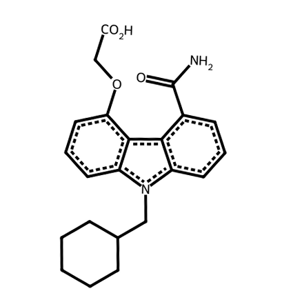 NC(=O)c1cccc2c1c1c(OCC(=O)O)cccc1n2CC1CCCCC1